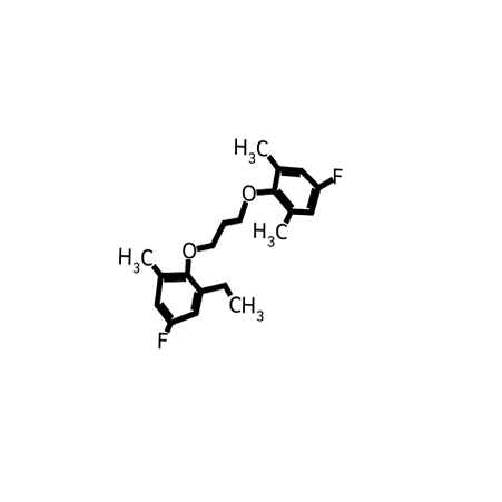 CCc1cc(F)cc(C)c1OCCCOc1c(C)cc(F)cc1C